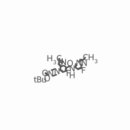 Cc1cn2cc(NC(=O)c3c(F)cc(N4CCN(C(=O)OC(C)(C)C)CC4)c4cn(C)nc34)cc(F)c2n1